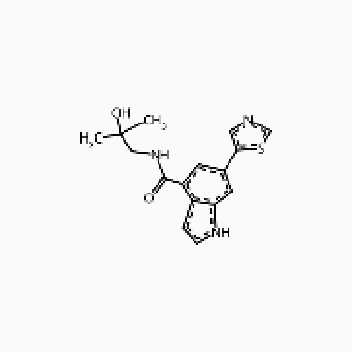 CC(C)(O)CNC(=O)c1cc(-c2cncs2)cc2[nH]ccc12